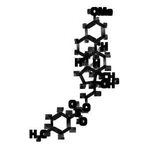 COc1ccc2c(c1)CC[C@@H]1[C@@H]2CC[C@@]2(C)[C@H]1CC[C@@]2(O)CCOS(=O)(=O)c1ccc(C)cc1